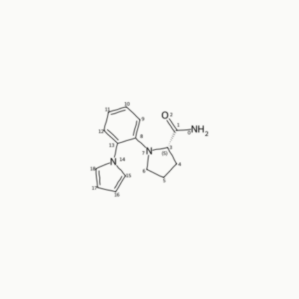 NC(=O)[C@@H]1CCCN1c1ccccc1-n1cccc1